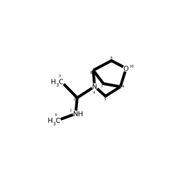 CNC(C)N1CC2CC1CO2